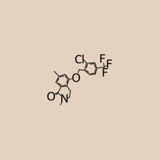 Cc1cc(OCc2ccc(C(F)(F)F)cc2Cl)c2c(c1)C(=O)N(C)CC2